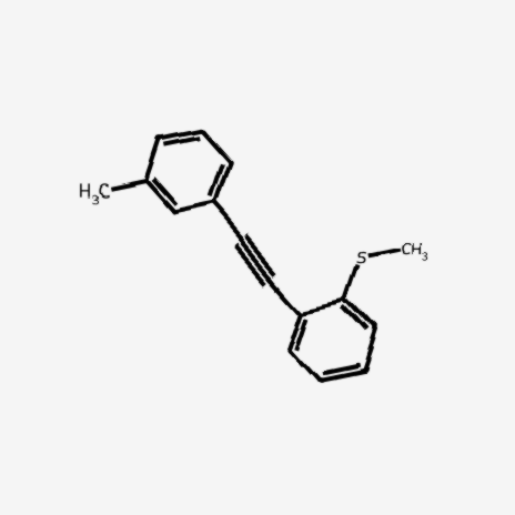 CSc1ccccc1C#Cc1cccc(C)c1